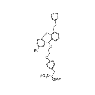 CCc1ccc2c(c1)C(OCCOc1ccc(CC(OC)C(=O)O)cc1)c1cccc(CCc3ccccc3)c1C=C2